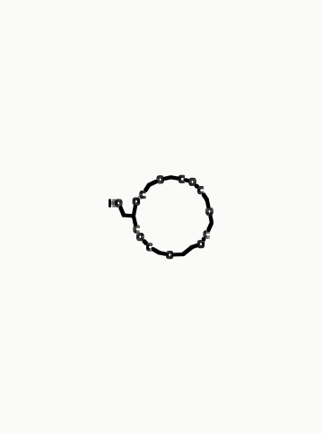 OCC1COCCOCCOCCOCCOCCOCCO1